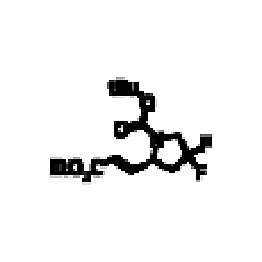 CCOC(=O)/C=C/[C@@H]1CC(F)(F)CN1C(=O)OC(C)(C)C